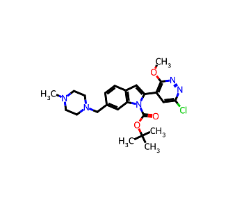 COc1nnc(Cl)cc1-c1cc2ccc(CN3CCN(C)CC3)cc2n1C(=O)OC(C)(C)C